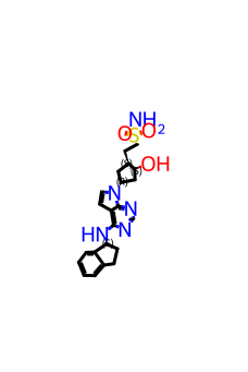 NS(=O)(=O)CC[C@@H]1C[C@@H](n2ccc3c(N[C@H]4CCc5ccccc54)ncnc32)C[C@@H]1O